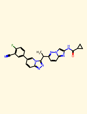 CC(c1ccc2nc(NC(=O)C3CC3)cn2n1)c1nnc2ccc(-c3ccc(F)c(C#N)c3)cn12